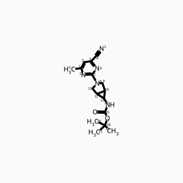 Cc1cc(C#N)nc(N2CC3C(C2)C3NC(=O)OC(C)(C)C)n1